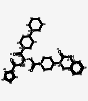 O=C(N[C@@H](CC(=O)N1CCC(N2Cc3ccccc3NC2=O)CC1)C(=O)N1CCC(N2CCCCC2)CC1)c1cccs1